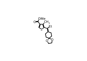 CCC(=C1CCC2(CC1)OCCO2)c1scc(C(=O)OC)c1C